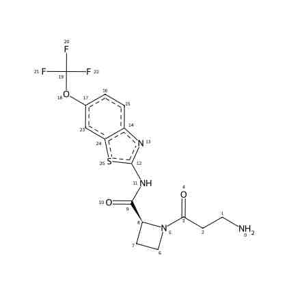 NCCC(=O)N1CC[C@H]1C(=O)Nc1nc2ccc(OC(F)(F)F)cc2s1